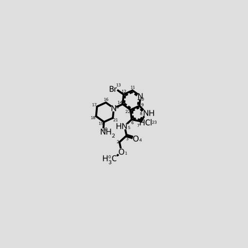 COCC(=O)Nc1c[nH]c2ncc(Br)c(N3CCCC(N)C3)c12.Cl